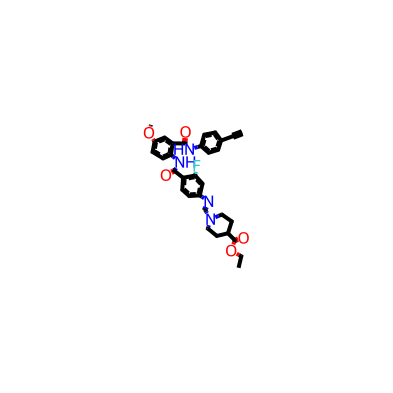 C#Cc1ccc(NC(=O)c2cc(OC)ccc2NC(=O)c2ccc(/N=C/N3CCC(C(=O)OCC)CC3)cc2F)cc1